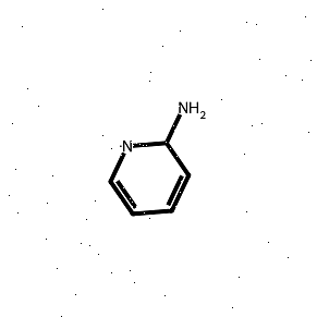 NC1C=CC=C[N]1